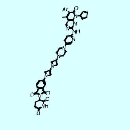 CC(=O)c1c(C)c2cnc(Nc3ccc(N4CCN(C5CN(C6CN(c7ccc8c(c7)C(=O)N(C7CCC(=O)NC7=O)C8=O)C6)C5)CC4)cn3)nc2n(C2CCCC2)c1=O